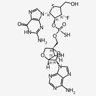 Nc1nc2c(ncn2[C@@H]2SC(CO)[C@H](F)[C@H]2OP(=O)(S)OC[C@@]23CO[C@@H]([C@H](n4cnc5c(N)ncnc54)O2)[C@@H]3O)c(=O)[nH]1